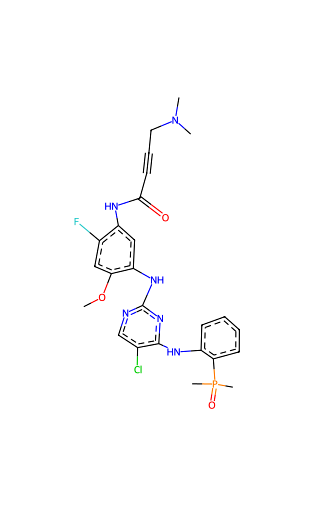 COc1cc(F)c(NC(=O)C#CCN(C)C)cc1Nc1ncc(Cl)c(Nc2ccccc2P(C)(C)=O)n1